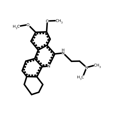 COc1cc2c(NCCN(C)C)nc3c4c(ccc3c2cc1OC)CCCC4